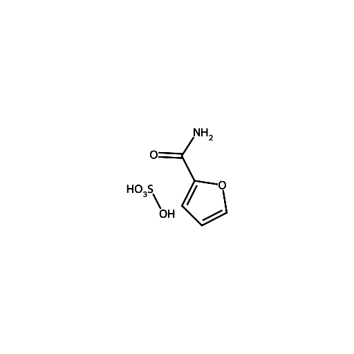 NC(=O)c1ccco1.O=S(=O)(O)O